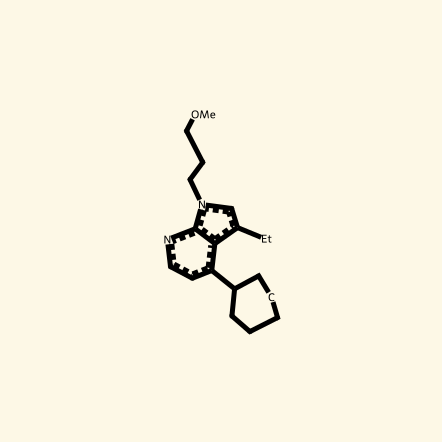 CCc1cn(CCCOC)c2nccc(C3CCCCC3)c12